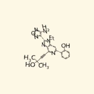 CCn1c(-c2nonc2N)nc2c(C#CC(C)(C)O)nc(-c3ccccc3O)cc21